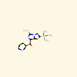 CCC[CH2][Sn]([CH2]CCC)([CH2]CCC)[c]1cn2c(SC)nc(C(=O)c3cccnc3)c2s1